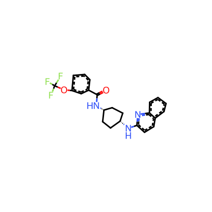 O=C(N[C@H]1CC[C@@H](Nc2ccc3ccccc3n2)CC1)c1cccc(OC(F)(F)F)c1